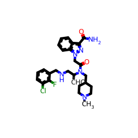 CN1CCC(CN(C(=O)Cn2nc(C(N)=O)c3ccccc32)C(C=O)CNCc2cccc(Cl)c2F)CC1